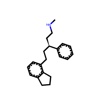 CNCC[C@H](CCc1cccc2c1CCC2)c1ccccc1